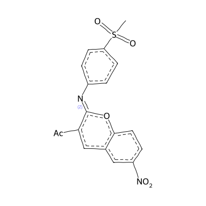 CC(=O)c1cc2cc([N+](=O)[O-])ccc2o/c1=N\c1ccc(S(C)(=O)=O)cc1